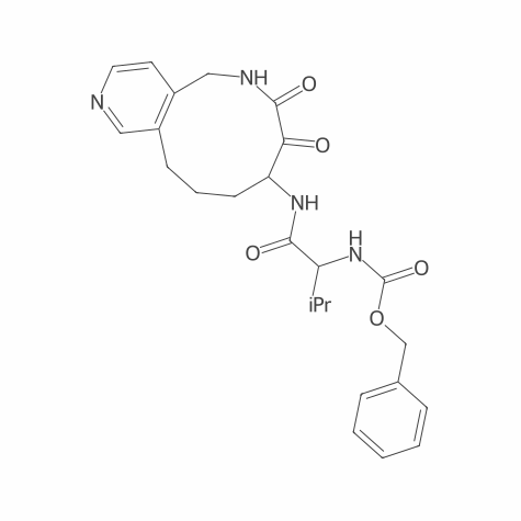 CC(C)C(NC(=O)OCc1ccccc1)C(=O)NC1CCCc2cnccc2CNC(=O)C1=O